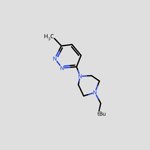 Cc1ccc(N2CCN(CC(C)(C)C)CC2)nn1